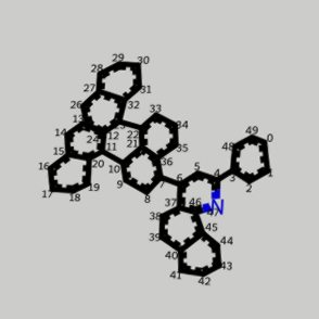 c1ccc(-c2cc(-c3ccc(-c4cccc5ccccc45)c4c(-c5cccc6ccccc56)cccc34)c3ccc4ccccc4c3n2)cc1